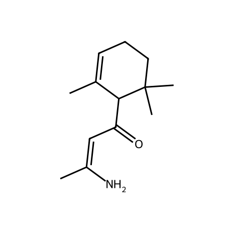 CC1=CCCC(C)(C)C1C(=O)/C=C(/C)N